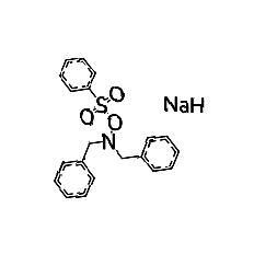 O=S(=O)(ON(Cc1ccccc1)Cc1ccccc1)c1ccccc1.[NaH]